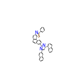 c1ccc(-c2nc3ccc4ccc5cc(-c6nc(-c7ccc8ccccc8c7)cc(-c7cccc8ccccc78)n6)ccc5c4c3s2)cc1